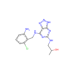 CC(O)CNc1nc(NCc2c(N)cccc2Cl)c2nn[nH]c2n1